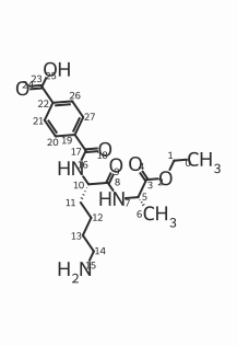 CCOC(=O)[C@H](C)NC(=O)[C@H](CCCCN)NC(=O)c1ccc(C(=O)O)cc1